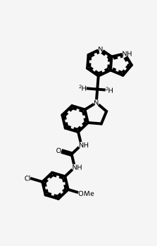 [2H]C([2H])(c1ccnc2[nH]ccc12)N1CCc2c(NC(=O)Nc3cc(Cl)ccc3OC)cccc21